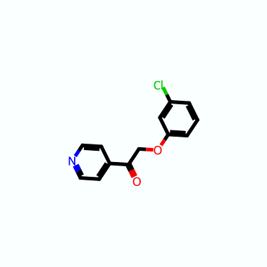 O=C(COc1cccc(Cl)c1)c1ccncc1